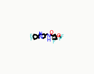 N#CC1(CN2CCC(CNC(=O)c3cc(F)cc(OC(F)F)c3)CC2)CCC(F)(F)CC1